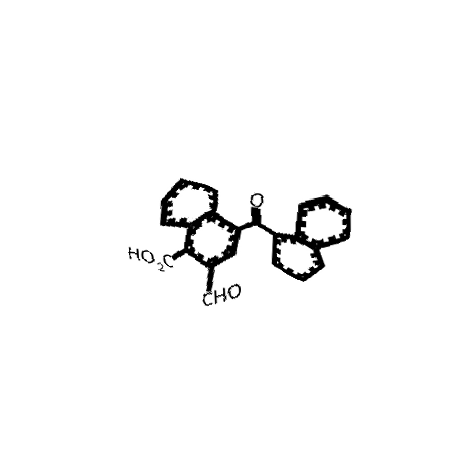 O=Cc1cc(C(=O)c2cccc3ccccc23)c2ccccc2c1C(=O)O